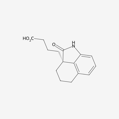 O=C(O)CCC[C@@]12CCCc3cccc(c31)NC2=O